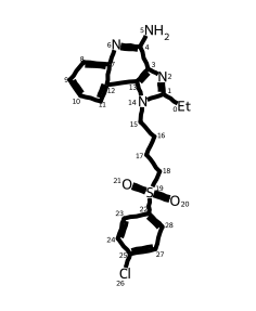 CCc1nc2c(N)nc3ccccc3c2n1CCCCS(=O)(=O)c1ccc(Cl)cc1